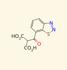 O=C(O)C(C(=O)O)C(=O)c1cccc2nnsc12